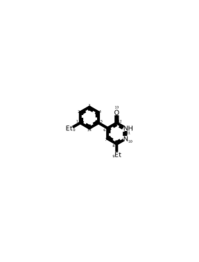 CCc1cccc(-c2cc(CC)n[nH]c2=O)c1